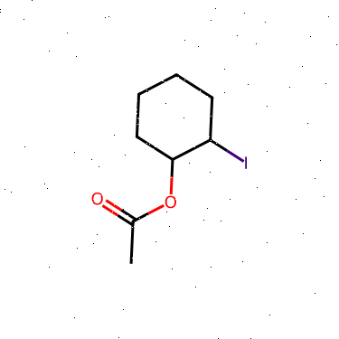 CC(=O)OC1CCCCC1I